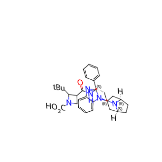 CC(C)(C)C1C(C(=O)N[C@@H](CCN2[C@@H]3CC[C@H]2C[C@@H](n2cnc4ccccc42)C3)c2ccccc2)CN1C(=O)O